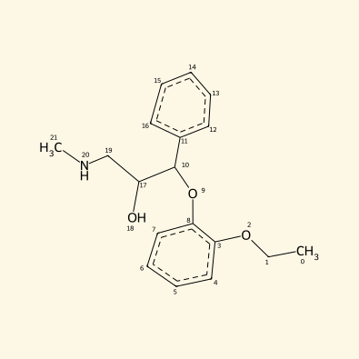 CCOc1ccccc1OC(c1ccccc1)C(O)CNC